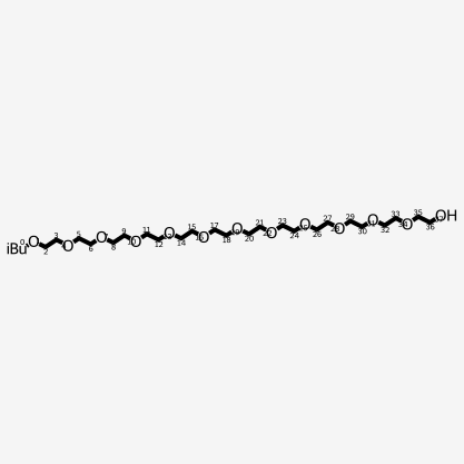 CCC(C)OCCOCCOCCOCCOCCOCCOCCOCCOCCOCCOCCOCCO